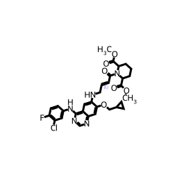 COC(=O)C1CCCC(C(=O)OC)N1C(=O)/C=C/CNc1cc2c(Nc3ccc(F)c(Cl)c3)ncnc2cc1OCC1CC1